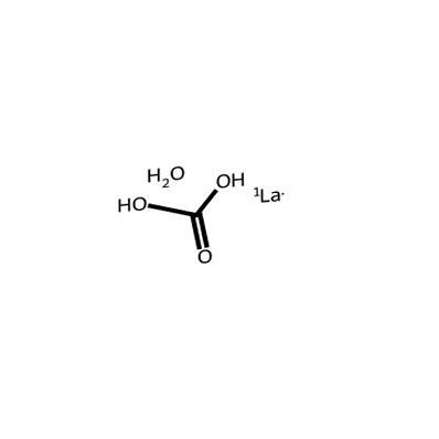 O.O=C(O)O.[1La]